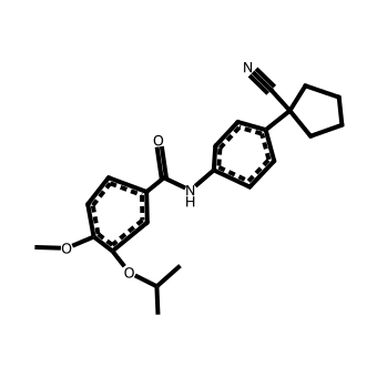 COc1ccc(C(=O)Nc2ccc(C3(C#N)CCCC3)cc2)cc1OC(C)C